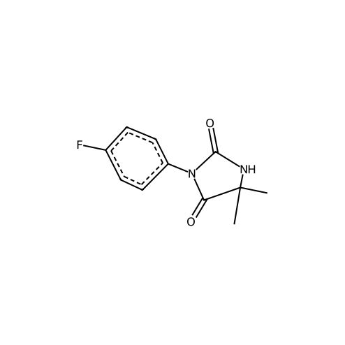 CC1(C)NC(=O)N(c2ccc(F)cc2)C1=O